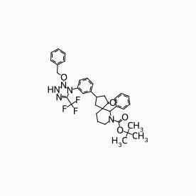 CC(C)(C)OC(=O)N1CCCC2(CC(c3cccc(N4C(C(F)(F)F)=NNN4OCc4ccccc4)c3)CC2=O)C1c1ccccc1